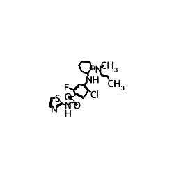 CCCN(C)[C@H]1CCCCC1Nc1cc(F)c(S(=O)(=O)Nc2nccs2)cc1Cl